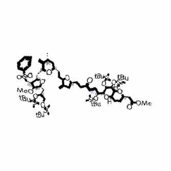 C=C1C[C@H](CCC(=O)/C=C/[C@H](O[Si](C)(C)C(C)(C)C)[C@@H]2O[C@H]3CC[C@H](CC(=O)OC)O[C@@H]3[C@H](O[Si](C)(C)C(C)(C)C)[C@@H]2O[Si](C)(C)C(C)(C)C)OC1CC[C@H]1C[C@@H](C)C(=C)[C@@H](C[C@@H]2O[C@H](C[C@@H](CO[Si](C)(C)C(C)(C)C)O[Si](C)(C)C(C)(C)C)[C@H](OC)[C@H]2CS(=O)(=O)c2ccccc2)O1